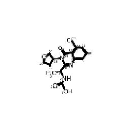 C[C@H](NC(=O)O)c1nc2cccc(Cl)c2c(=O)n1[C@H]1CCOC1